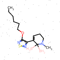 BC1(B)C(c2nsnc2OCCCCCC)=CCCN1C